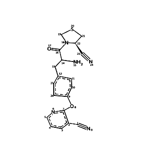 N#Cc1cccnc1Oc1ccc(CC(N)C(=O)N2CSC[C@H]2C#N)cc1